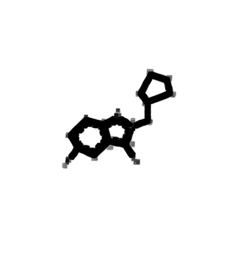 Fc1ccc2nn(CC3CCCC3)c(I)c2c1